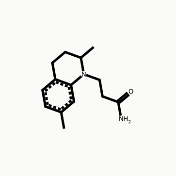 Cc1ccc2c(c1)N(CCC(N)=O)C(C)CC2